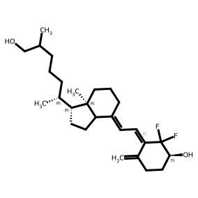 C=C1CC[C@H](O)C(F)(F)/C1=C/C=C1CCC[C@@]2(C)C1CC[C@@H]2[C@H](C)CCCC(C)CO